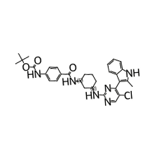 Cc1[nH]c2ccccc2c1-c1nc(N[C@@H]2CCC[C@H](NC(=O)c3ccc(NC(=O)OC(C)(C)C)cc3)C2)ncc1Cl